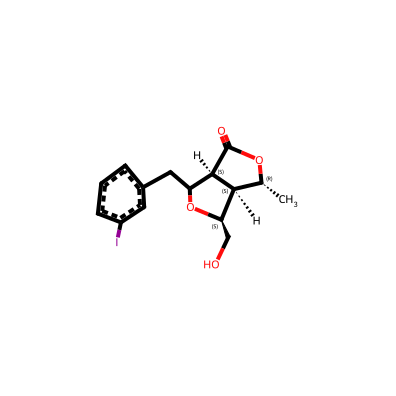 C[C@H]1OC(=O)[C@@H]2C(Cc3cccc(I)c3)O[C@H](CO)[C@@H]21